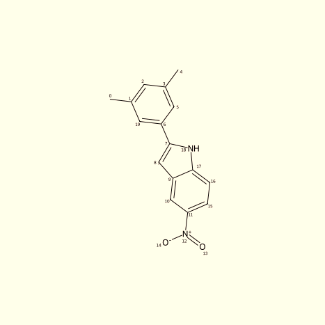 Cc1cc(C)cc(-c2[c]c3cc([N+](=O)[O-])ccc3[nH]2)c1